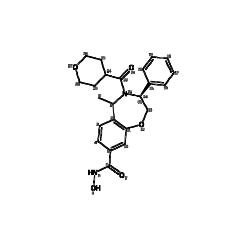 CC1c2ccc(C(=O)NO)cc2OC[C@H](c2ccccc2)N1C(=O)C1CCOCC1